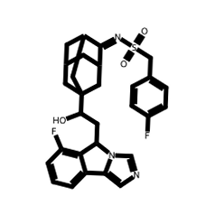 O=S(=O)(Cc1ccc(F)cc1)N=C1C2CC3CC1CC(C(O)CC1c4c(F)cccc4-c4cncn41)(C3)C2